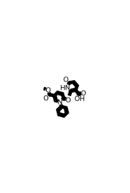 COC(=O)c1ccc(=O)n(-c2ccccc2)c1.Cc1[nH]c(=O)ccc1C(=O)O